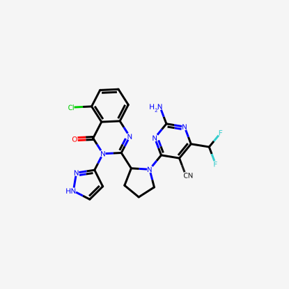 N#Cc1c(C(F)F)nc(N)nc1N1CCCC1c1nc2cccc(Cl)c2c(=O)n1-c1cc[nH]n1